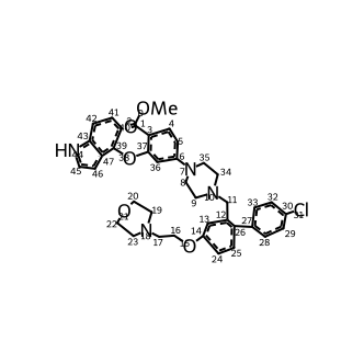 COC(=O)c1ccc(N2CCN(Cc3cc(OCCN4CCOCC4)ccc3-c3ccc(Cl)cc3)CC2)cc1Oc1cccc2[nH]ccc12